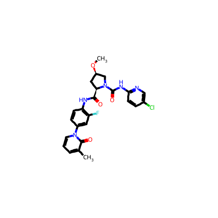 CO[C@@H]1C[C@H](C(=O)Nc2ccc(-n3cccc(C)c3=O)cc2F)N(C(=O)Nc2ccc(Cl)cn2)C1